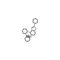 CC(C)(C)c1ccc2c(c1-c1ccccc1-c1ccccc1)C=C(c1ccccc1)[CH]2